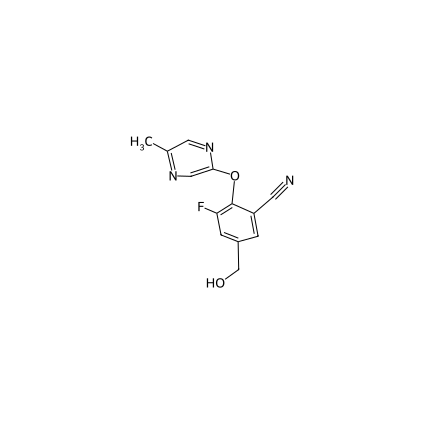 Cc1cnc(Oc2c(F)cc(CO)cc2C#N)cn1